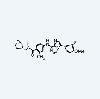 COc1ccc(-c2cnc3c(Nc4ccc(C(=O)NC[C@@H]5CCOC5)c(C)c4)nccn23)cc1F